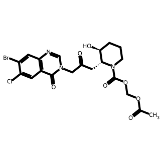 CC(=O)OCOC(=O)N1CCC[C@H](O)[C@H]1CC(=O)Cn1cnc2cc(Br)c(Cl)cc2c1=O